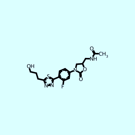 CC(=O)NCC1CN(c2ccc(-c3nnc(CCCO)s3)c(F)c2)C(=O)O1